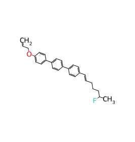 C=CCOc1ccc(-c2ccc(-c3ccc(C=CCCCC(C)F)cc3)cc2)cc1